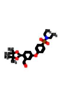 CCN(CC)S(=O)(=O)c1ccc(Oc2ccc(B3OC(C)(C)C(C)(C)O3)c(C=O)c2)cc1